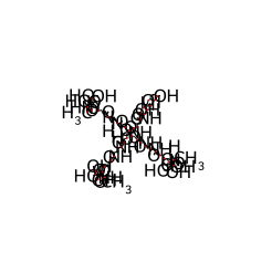 CC(=O)NC1C(OCCCCC(=O)NCCCNC(=O)CCOCC(COCCC(=O)NCCCNC(=O)CCCCOC2OC(CO)C(O)C(O)C2NC(C)=O)(COCCC(=O)NCCCNC(=O)CCCCOC2OC(CO)C(O)C(O)C2NC(C)=O)NC(=O)CCCC(=O)NC(Cc2cc(I)c(Oc3ccc(O)c(I)c3)c(I)c2)C(=O)O)OC(CO)C(O)C1O